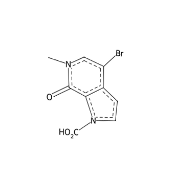 Cn1cc(Br)c2ccn(C(=O)O)c2c1=O